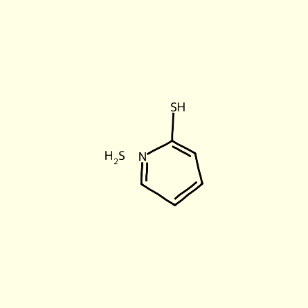 S.Sc1ccccn1